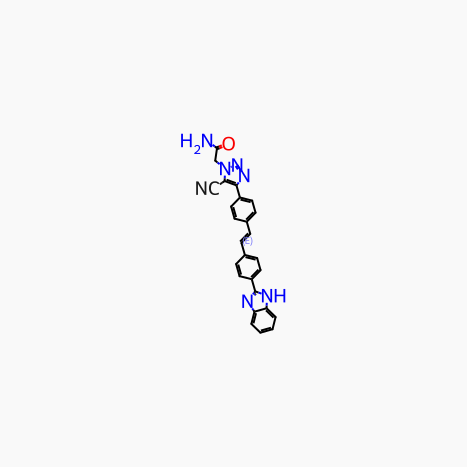 N#Cc1c(-c2ccc(/C=C/c3ccc(-c4nc5ccccc5[nH]4)cc3)cc2)nnn1CC(N)=O